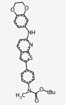 CN(C(=O)OC(C)(C)C)c1ccc(-c2cc3ccc(Nc4ccc5c(c4)OCCO5)nc3s2)cc1